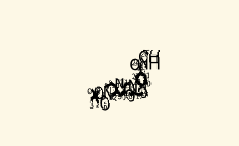 CC(C)(C)OC(=O)N1CCc2nc(CN3C(=O)COc4ccc(C(=O)NO)cc43)ccc2C1